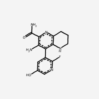 NC(=O)c1nc2c(c(-c3cc(O)cnc3F)c1N)NCCC2